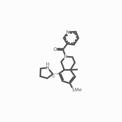 CSC1=CC2(C)CCN(C(=O)c3cccnc3)CC2C([C@@H]2CCCN2)=C1